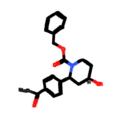 COC(=O)c1ccc(C2C[C@H](O)CCN2C(=O)OCc2ccccc2)cc1